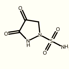 NS(=O)(=O)N1CC(=O)C(=O)N1